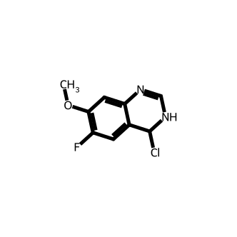 COc1cc2c(cc1F)C(Cl)NC=N2